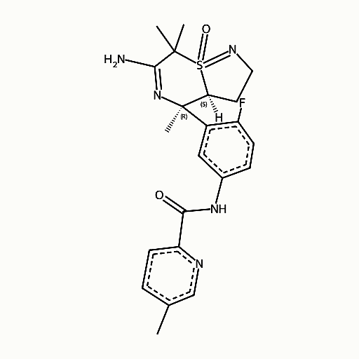 Cc1ccc(C(=O)Nc2ccc(F)c([C@@]3(C)N=C(N)C(C)(C)S4(=O)=NCC[C@@H]34)c2)nc1